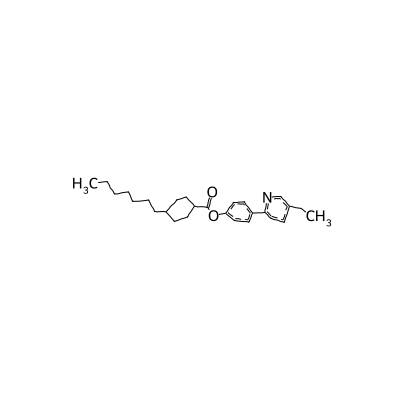 CCCCCCCC1CCC(C(=O)Oc2ccc(-c3ccc(CC)cn3)cc2)CC1